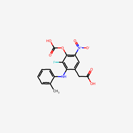 Cc1ccccc1Nc1c(CC(=O)O)cc([N+](=O)[O-])c(OC(=O)O)c1F